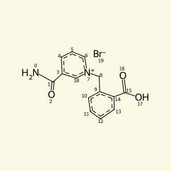 NC(=O)c1ccc[n+](Cc2ccccc2C(=O)O)c1.[Br-]